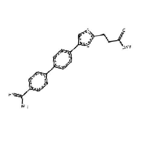 COC(=O)CCc1ncc(-c2ccc(-c3ccc(C(=N)N)cc3)cc2)o1